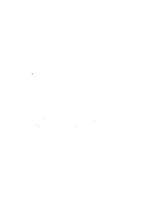 Cc1cc(S(=O)(=O)N2CCN(CCCC(N)(CCCCB(O)O)C(=O)O)CC2)ccc1Cl